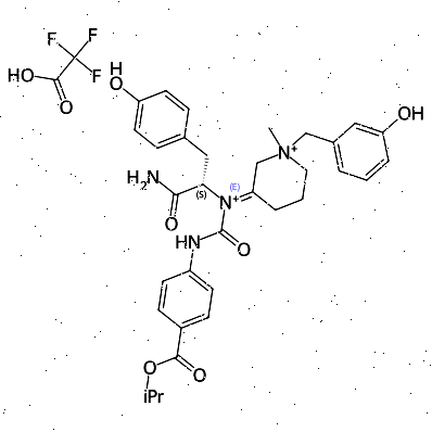 CC(C)OC(=O)c1ccc(NC(=O)/[N+](=C2\CCC[N+](C)(Cc3cccc(O)c3)C2)[C@@H](Cc2ccc(O)cc2)C(N)=O)cc1.O=C(O)C(F)(F)F